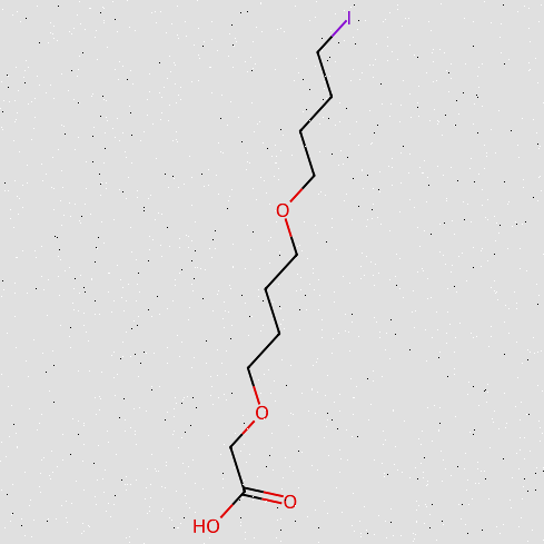 O=C(O)COCCCCOCCCCI